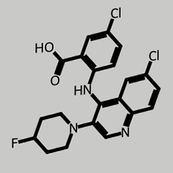 O=C(O)c1cc(Cl)ccc1Nc1c(N2CCC(F)CC2)cnc2ccc(Cl)cc12